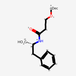 CCCCCCCCCCOCCC(=O)N[C@H](Cc1ccccc1)C(=O)O